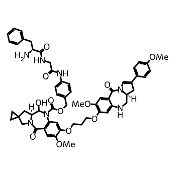 COc1ccc(C2=CN3C(=O)c4cc(OC)c(OCCCOc5cc6c(cc5OC)C(=O)N5CC7(CC7)C[C@H]5C(O)N6C(=O)OCc5ccc(NC(=O)CNC(=O)[C@@H](N)Cc6ccccc6)cc5)cc4NC[C@@H]3C2)cc1